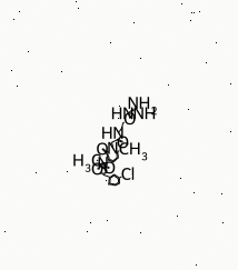 Cc1ccc(N(C)S(=O)(=O)Cc2cccc(Cl)c2)c(=O)n1CC(=O)NCCONC(=N)N